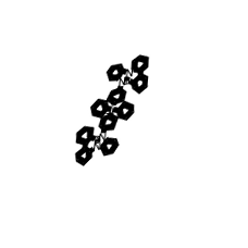 c1ccc([Si](c2ccccc2)(c2ccc(N3B4c5ccccc5-c5ccccc5N4c4ccccc43)cc2)c2ccc(N3B4c5ccccc5-c5ccccc5N4c4ccccc43)cc2)cc1